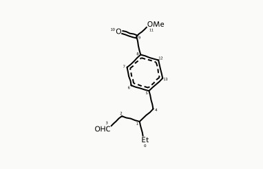 CCC(CC=O)Cc1ccc(C(=O)OC)cc1